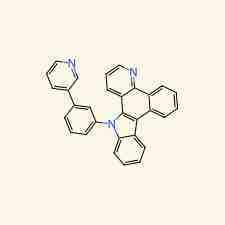 c1cncc(-c2cccc(-n3c4ccccc4c4c5ccccc5c5ncccc5c43)c2)c1